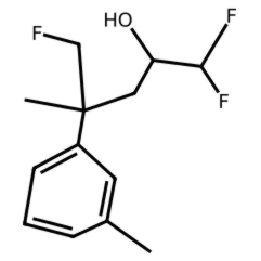 Cc1cccc(C(C)(CF)CC(O)C(F)F)c1